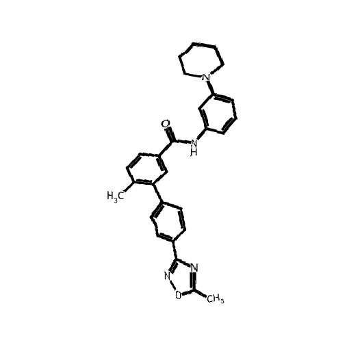 Cc1nc(-c2ccc(-c3cc(C(=O)Nc4cccc(N5CCCCC5)c4)ccc3C)cc2)no1